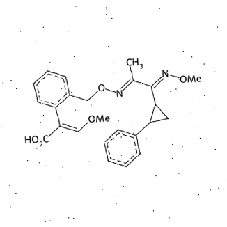 CO/C=C(/C(=O)O)c1ccccc1CO/N=C(C)/C(=N/OC)C1CC1c1ccccc1